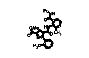 COC(=O)C1=NN(c2ccccc2C)C(C(=O)Nc2c(C)cccc2C(=O)NC(C)C)C1